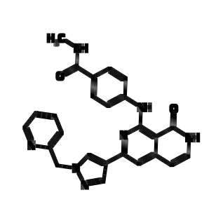 CNC(=O)c1ccc(Nc2nc(-c3cnn(Cc4ccccn4)c3)cc3cc[nH]c(=O)c23)cc1